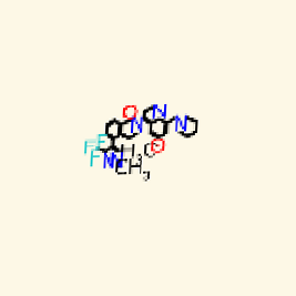 COc1cc(CN2CCCCC2)c2nccc(N3CCc4c(cccc4-c4cn(C)nc4C(F)(F)F)C3=O)c2c1